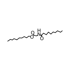 CCCCCCCCCCOC(=O)CNC(=O)CCCCCCCCC